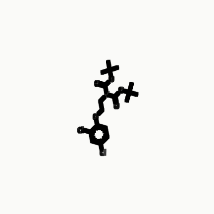 CC(C)(C)OC(=O)N(CCOc1ccc(Cl)cc1Cl)C(=O)OC(C)(C)C